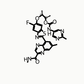 CNC(=O)c1cnc2c(-c3nc4cc(F)c(O[C@@H](C)[C@@H](C)OC(=O)Nc5cnc(C)nc5)cc4s3)cc(C)cc2n1